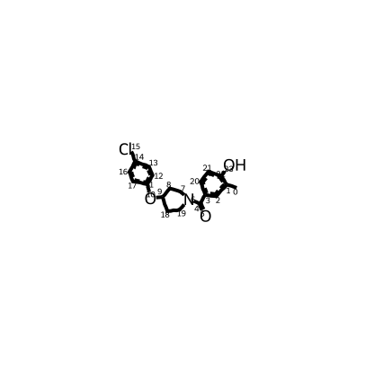 Cc1cc(C(=O)N2CCC(Oc3ccc(Cl)cc3)CC2)ccc1O